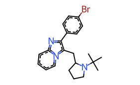 CC(C)(C)N1CCCC1Cc1c(-c2ccc(Br)cc2)nc2ccccn12